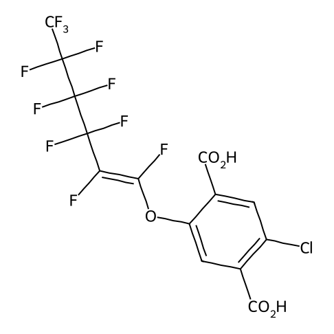 O=C(O)c1cc(OC(F)=C(F)C(F)(F)C(F)(F)C(F)(F)C(F)(F)F)c(C(=O)O)cc1Cl